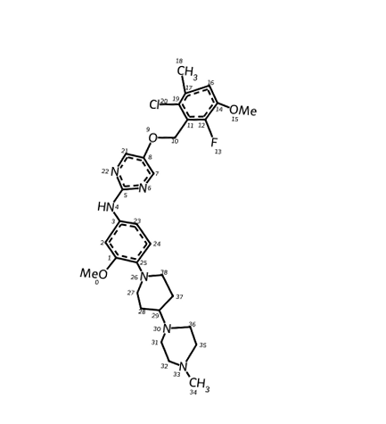 COc1cc(Nc2ncc(OCc3c(F)c(OC)cc(C)c3Cl)cn2)ccc1N1CCC(N2CCN(C)CC2)CC1